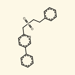 O=S(=O)(CCc1ccccc1)Cc1ccc(-c2ccccc2)cn1